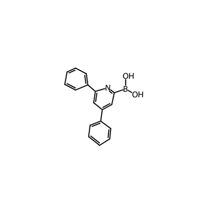 OB(O)c1cc(-c2ccccc2)cc(-c2ccccc2)n1